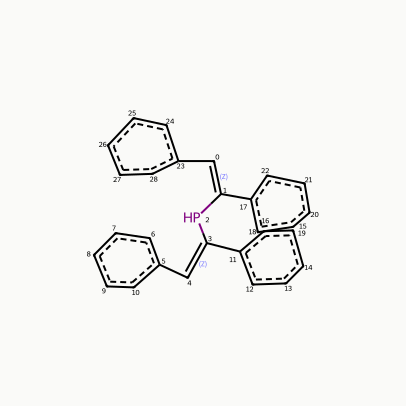 C(=C(/P/C(=C\c1ccccc1)c1ccccc1)c1ccccc1)/c1ccccc1